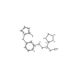 Cn1ccnc1Cc1cccc(OCC(CCl)N2CCCC2)c1